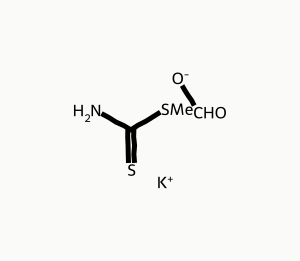 CSC(N)=S.O=C[O-].[K+]